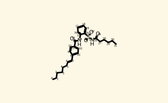 CCCCCC/C=C/c1ccc(C(=O)Nc2ccccc2S(=O)(=O)NC(=O)CCCCC)cc1